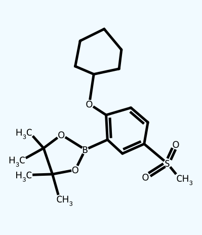 CC1(C)OB(c2cc(S(C)(=O)=O)ccc2OC2CCCCC2)OC1(C)C